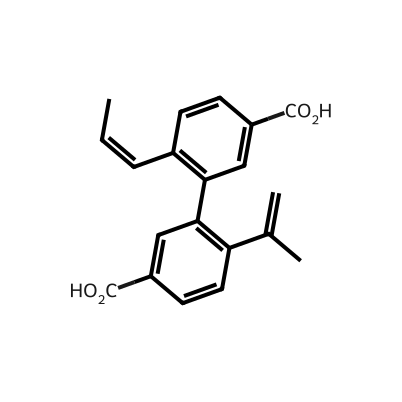 C=C(C)c1ccc(C(=O)O)cc1-c1cc(C(=O)O)ccc1/C=C\C